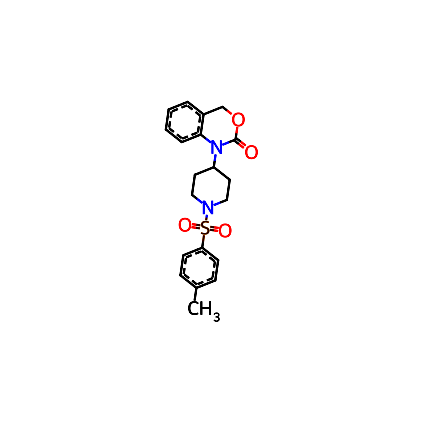 Cc1ccc(S(=O)(=O)N2CCC(N3C(=O)OCc4ccccc43)CC2)cc1